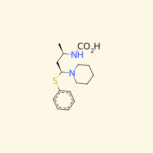 C[C@H](C[C@H](Sc1ccccc1)N1CCCCC1)NC(=O)O